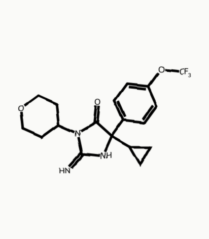 N=C1NC(c2ccc(OC(F)(F)F)cc2)(C2CC2)C(=O)N1C1CCOCC1